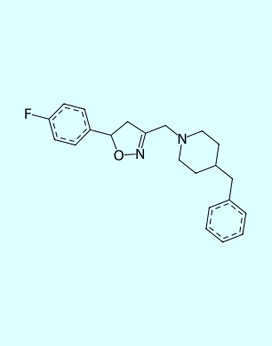 Fc1ccc(C2CC(CN3CCC(Cc4ccccc4)CC3)=NO2)cc1